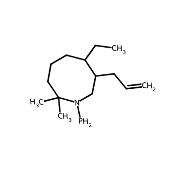 C=CCC1CN(P)C(C)(C)CCCC1CC